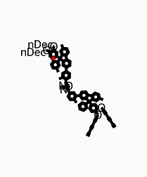 C#CC#CC#COc1ccc(C2(c3ccccc3)c3cc(C)ccc3-c3ccc(-c4cc(-c5nnc(-c6ccc(-c7ccc8c(c7)C(c7ccc(OCCCCCCCCCC)c(OCCCCCCCCCC)c7)(c7cc(C)ccc7C)c7cc(C)ccc7-8)cc6C)o5)ccc4C)cc32)cc1OC#CC#CC#C